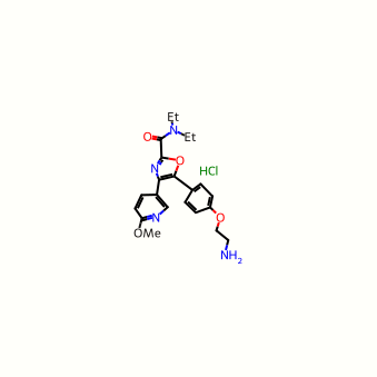 CCN(CC)C(=O)c1nc(-c2ccc(OC)nc2)c(-c2ccc(OCCN)cc2)o1.Cl